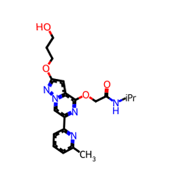 Cc1cccc(-c2cn3nc(OCCCO)cc3c(OCC(=O)NC(C)C)n2)n1